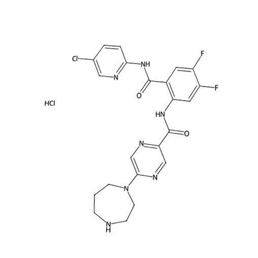 Cl.O=C(Nc1cc(F)c(F)cc1C(=O)Nc1ccc(Cl)cn1)c1cnc(N2CCCNCC2)cn1